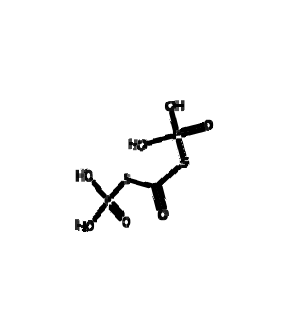 O=C(SP(=O)(O)O)SP(=O)(O)O